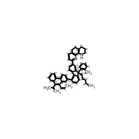 C=C(C)c1c(/C=C\C)c2cc(-c3cccc4c3-c3ccc(-c5ccc6c(n5)C5=C(CCCN5)CC6)cc3C4(c3ccccc3)[C@H](C)CCCC)ccc2c2ccccc12